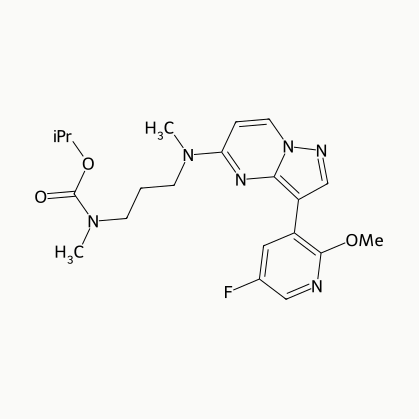 COc1ncc(F)cc1-c1cnn2ccc(N(C)CCCN(C)C(=O)OC(C)C)nc12